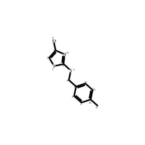 CCc1csc(SCc2ccc(C)cc2)n1